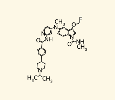 CNC(=O)n1cc(OCF)c2cc(N(C)c3ccnc(NC(=O)c4ccc(C5CCN(C(C)C)CC5)cc4)c3)ccc21